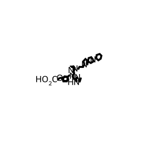 O=C(O)COc1cccc(CN(Cc2ncc[nH]2)Cc2nccn2CCCN2CCC3(CCN(C4CCCCC4)CC3)C2)c1